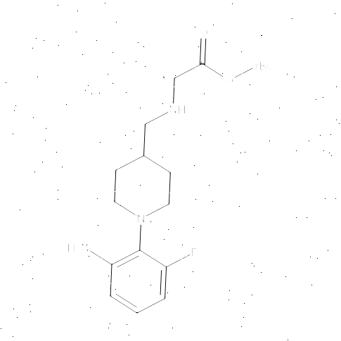 CC(C)(C)OC(=O)CNCC1CCN(c2c(N)cccc2F)CC1